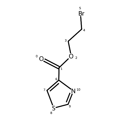 O=C(OCCBr)c1cscn1